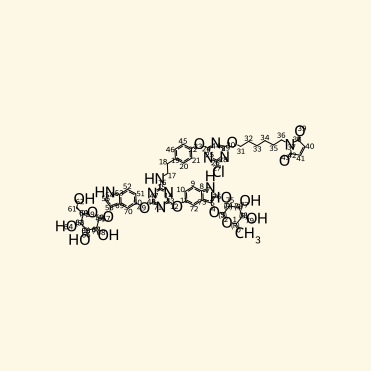 C[C@H]1O[C@@H](Oc2c[nH]c3ccc(Oc4nc(NCCc5ccc(Oc6nc(Cl)nc(OCCCCCCN7C(=O)C=CC7=O)n6)cc5)nc(Oc5ccc6[nH]cc(O[C@@H]7O[C@H](CO)[C@@H](O)[C@H](O)[C@H]7O)c6c5)n4)cc23)[C@H](O)[C@@H](O)[C@@H]1O